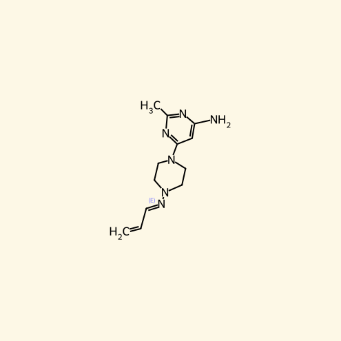 C=C/C=N/N1CCN(c2cc(N)nc(C)n2)CC1